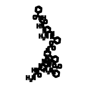 CN1CCN(CC(=O)Oc2ccccc2/N=N/c2ccc(NC(=O)CNC(=O)c3ccccc3)nc2N)CC1c1cccc(OC(=O)[C@@H]2CCCCN2C)c1/N=N/c1ccc(NC(=O)CN)nc1N